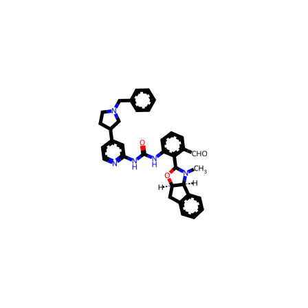 CN1C(c2c(C=O)cccc2NC(=O)Nc2cc(C3CCN(Cc4ccccc4)C3)ccn2)O[C@@H]2Cc3ccccc3[C@@H]21